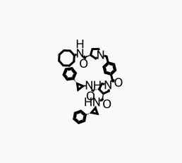 O=C(NC1CCCCCCC1)[C@H]1CCN(Cc2ccc(C(=O)N3C[C@@H](C(=O)N[C@H]4C[C@@H]4c4ccccc4)[C@H](C(=O)N[C@H]4C[C@@H]4c4ccccc4)C3)cc2)C1